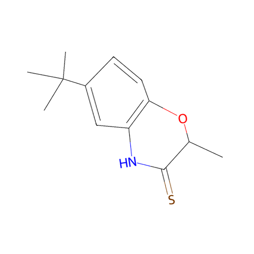 CC1Oc2ccc(C(C)(C)C)cc2NC1=S